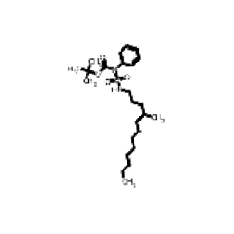 CCCCCCCCC(C)CCCNS(=O)(=O)N(C(=O)OC(C)(C)C)c1ccccc1